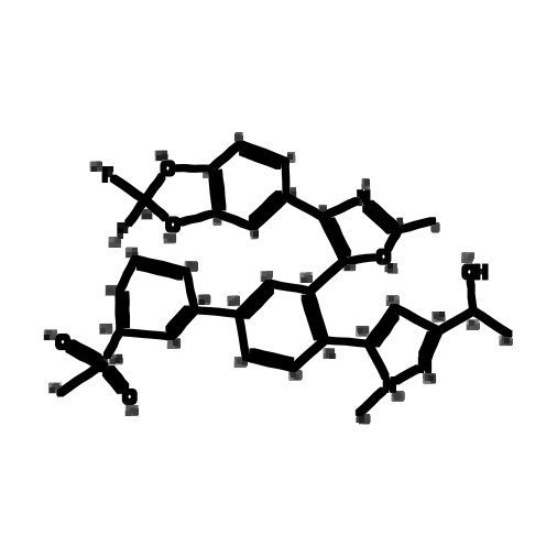 Cc1nc(-c2ccc3c(c2)OC(F)(F)O3)c(-c2cc(-c3cccc(S(C)(=O)=O)c3)ccc2-c2cc(C(C)O)nn2C)o1